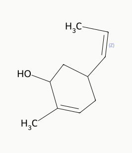 C/C=C\C1CC=C(C)C(O)C1